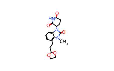 Cn1c(=O)n(C2CCC(=O)NC2=O)c2cccc(CCC3OCCO3)c21